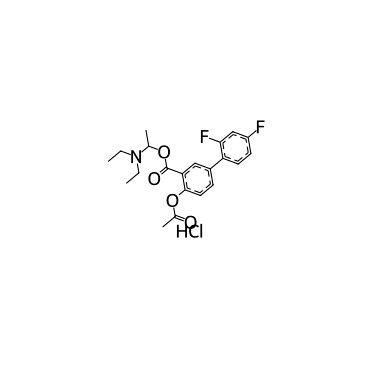 CCN(CC)C(C)OC(=O)c1cc(-c2ccc(F)cc2F)ccc1OC(C)=O.Cl